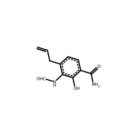 C=CCc1ccc(C(N)=O)c(O)c1NC=O